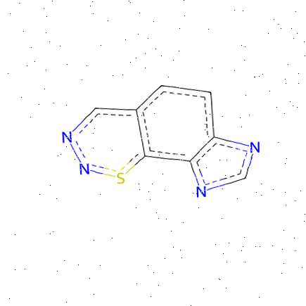 c1nc2ccc3cnnsc3c2n1